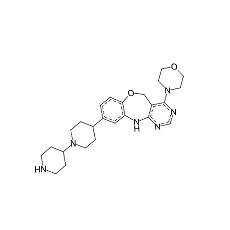 c1nc2c(c(N3CCOCC3)n1)COc1ccc(C3CCN(C4CCNCC4)CC3)cc1N2